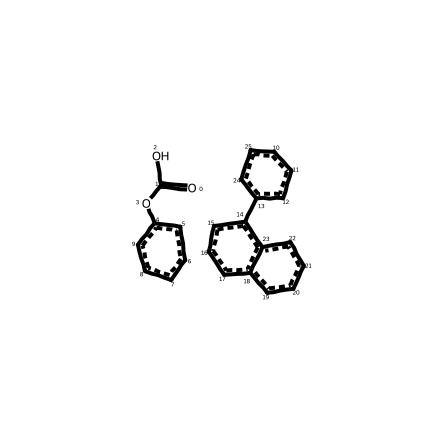 O=C(O)Oc1ccccc1.c1ccc(-c2cccc3ccccc23)cc1